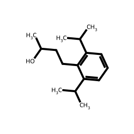 CC(O)CCc1c(C(C)C)cccc1C(C)C